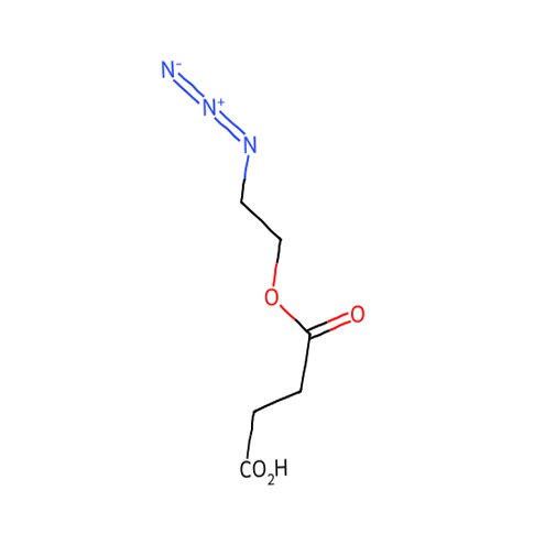 [N-]=[N+]=NCCOC(=O)CCC(=O)O